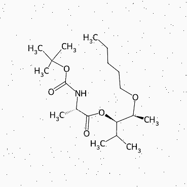 CCCCCO[C@@H](C)[C@H](OC(=O)[C@H](C)NC(=O)OC(C)(C)C)C(C)C